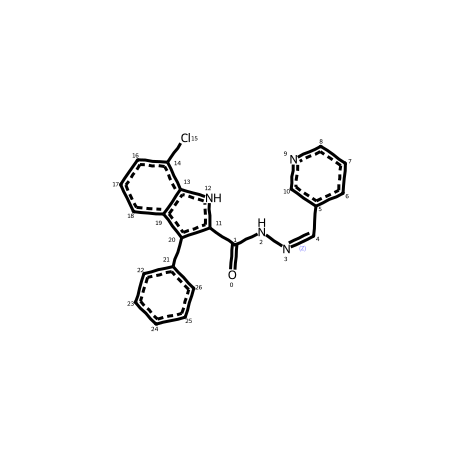 O=C(N/N=C\c1cccnc1)c1[nH]c2c(Cl)cccc2c1-c1ccccc1